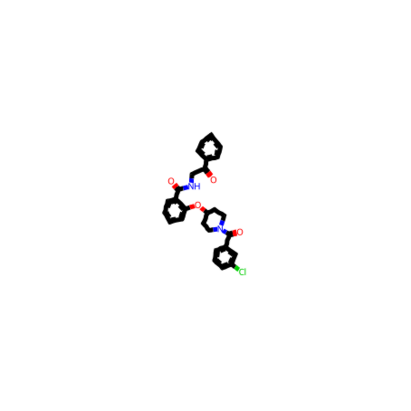 O=C(CNC(=O)c1ccccc1OC1CCN(C(=O)c2cccc(Cl)c2)CC1)c1ccccc1